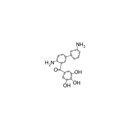 Nc1cccc(-c2ccc(N)c(C(=O)c3cc(O)c(O)c(O)c3)c2)c1